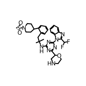 CC(C)(Cc1ccccc1C1CCN(S(C)(=O)=O)CC1)Nc1nc(C2CNCCO2)nc(-n2c(C(F)F)nc3ccccc32)n1